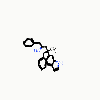 CC(CC(=N)Cc1ccccc1)(Cc1ccccc1)c1ccc2cc[nH]c2c1